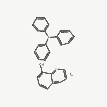 Oc1cccc2cccnc12.[Ru].c1ccc(P(c2ccccc2)c2ccccc2)cc1